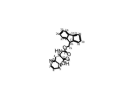 O=C(N[C@@H](Cc1ncccn1)C(=O)O)OCC1c2ccccc2-c2ccccc21